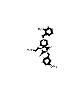 COCCN1C(=O)N(Cc2cccc(OC)c2)C(=O)C12CCN(Cc1ccccc1C)CC2